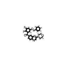 O=C(c1ccc2ncc(N3CCOCC3)nc2c1)c1cc(OCc2ccccc2)cc(F)c1F